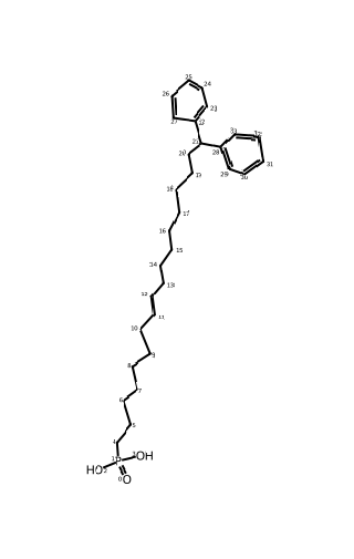 O=P(O)(O)CCCCCCCCCCCCCCCCCC(c1ccccc1)c1ccccc1